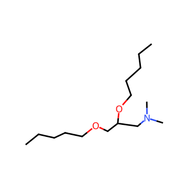 CCCCCOCC(CN(C)C)OCCCCC